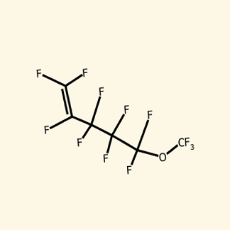 FC(F)=C(F)C(F)(F)C(F)(F)C(F)(F)OC(F)(F)F